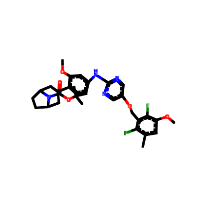 COc1cc(Nc2ncc(OCc3c(F)c(C)cc(OC)c3F)cn2)ccc1C1CC2CCC(C1)N2C(=O)OC(C)(C)C